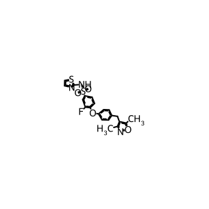 Cc1noc(C)c1Cc1ccc(Oc2ccc(S(=O)(=O)Nc3nccs3)cc2F)cc1